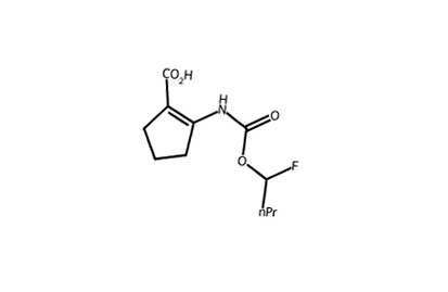 CCCC(F)OC(=O)NC1=C(C(=O)O)CCC1